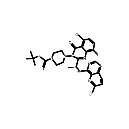 C[C@H](Nc1ncnc2ccc(Cl)nc12)c1nc2c(F)ccc(Cl)c2c(=O)n1N1CCN(C(=O)OC(C)(C)C)CC1